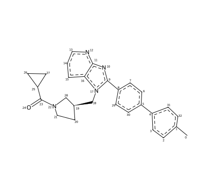 Cc1ccc(-c2ccc(-c3nc4ncccc4n3C[C@H]3CCN(C(=O)C4CC4)C3)cc2)cc1